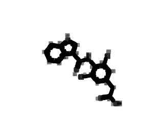 O=C(O)Cc1cc(Cl)c(NC(=O)c2coc3ccccc23)c(Cl)c1